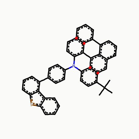 CC(C)(C)c1ccc(N(c2ccc(-c3cccc4sc5ccccc5c34)cc2)c2ccccc2-c2cccc3cccc(-c4ccccc4)c23)cc1